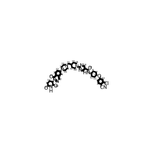 N#Cc1ccc(O[C@H]2CC[C@H](NC(=O)c3cnc(N4CCC(CN5CCN(c6ccc7c(=O)n(C8CCC(=O)NC8=O)ncc7c6)CC5)CC4)nc3)CC2)cc1Cl